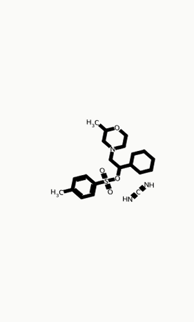 Cc1ccc(S(=O)(=O)OC(CN2CCOC(C)C2)C2CCCCC2)cc1.N=C=N